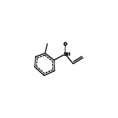 C=C[SiH]([O])c1ccccc1C